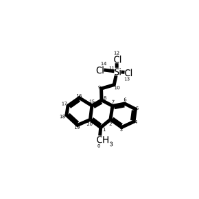 Cc1c2ccccc2c(CC[Si](Cl)(Cl)Cl)c2ccccc12